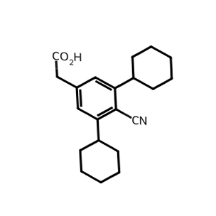 N#Cc1c(C2CCCCC2)cc(CC(=O)O)cc1C1CCCCC1